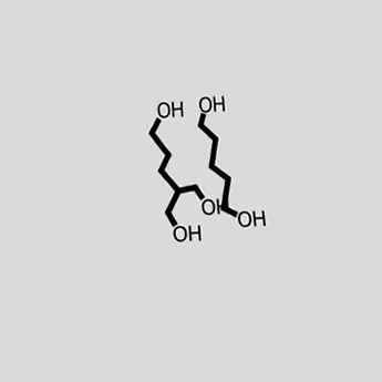 OCCCC(CO)CO.OCCCCCO